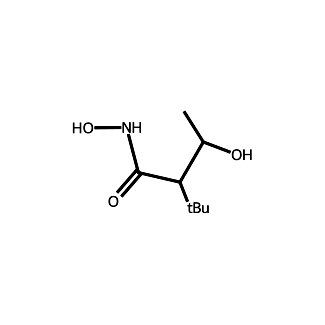 CC(O)C(C(=O)NO)C(C)(C)C